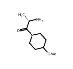 COC1CCN(C(=O)[C@H](C)N)CC1